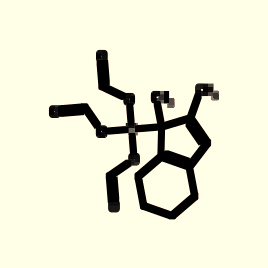 CC1=CC2=C(CCCC2)[C]1(C)[Ti]([O]C=O)([O]C=O)[O]C=O